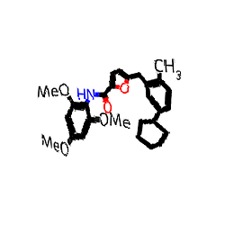 COc1cc(OC)c(NC(=O)c2ccc(Cc3cc(C4CCCCC4)ccc3C)o2)c(OC)c1